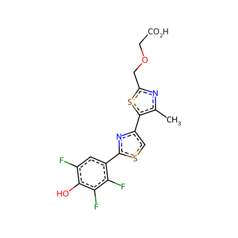 Cc1nc(COCC(=O)O)sc1-c1csc(-c2cc(F)c(O)c(F)c2F)n1